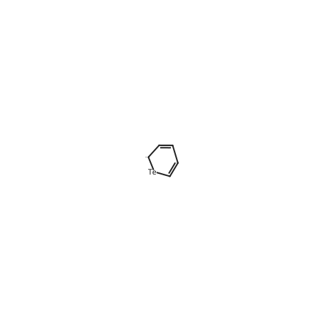 [CH]1C=CC=C[Te]1